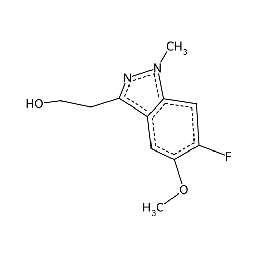 COc1cc2c(CCO)nn(C)c2cc1F